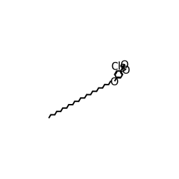 CCCCCCCCCCCCCCCCCCCCCCOc1ccc(S(=O)(=O)Cl)cc1